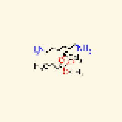 CCC[Si](OC)(OC)OC.NCCCCCCN